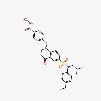 CCc1ccc(N(CC(C)C)S(=O)(=O)c2ccc3c(c2)C(=O)CCN3Cc2ccc(C(=O)NO)cc2)cc1